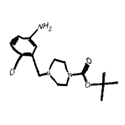 CC(C)(C)OC(=O)N1CCN(Cc2cc(N)ccc2Cl)CC1